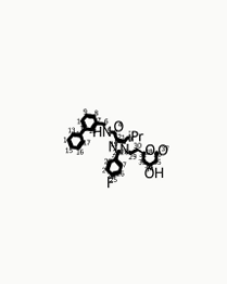 CC(C)c1c(C(=O)NCc2cccc(-c3ccccc3)c2)nc(-c2ccc(F)cc2)n1CC[C@@H]1C[C@@H](O)CC(=O)O1